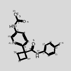 O=C(Nc1ccc(C2(C(=O)Nc3ccc(F)cc3)CCC2)nc1)C(F)(F)F